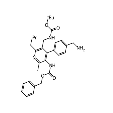 Cc1nc(CC(C)C)c(CNC(=O)OC(C)(C)C)c(-c2ccc(CN)cc2)c1NC(=O)OCc1ccccc1